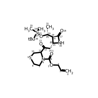 C=CCOC(=O)N1CCSCC1C(=O)C[C@H]1NC(=O)[C@@H]1[C@@H](C)O[Si](C)(C)C(C)(C)C